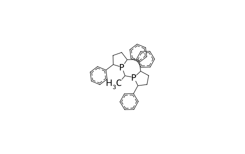 CC(P1C(c2ccccc2)CCC1c1ccccc1)P1C(c2ccccc2)CCC1c1ccccc1